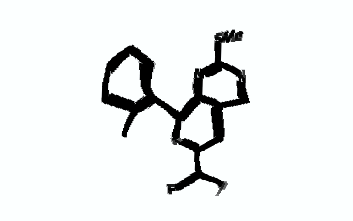 CSc1ncc2cc(C(F)F)nc(-c3ccccc3C)c2n1